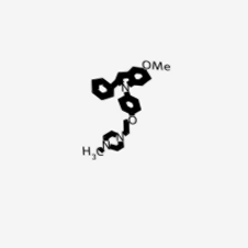 COc1ccc2c(c1)cc(-c1ccccc1)n2-c1ccc(OCCN2CCN(C)CC2)cc1